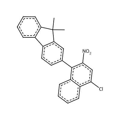 CC1(C)c2ccccc2-c2ccc(-c3c([N+](=O)[O-])cc(Cl)c4ccccc34)cc21